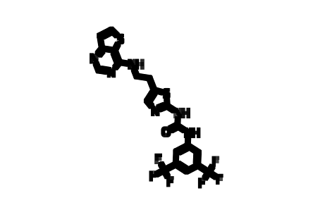 O=C(Nc1cc(C(F)(F)F)cc(C(F)(F)F)c1)Nc1ncc(CCNc2ncnc3ccsc23)s1